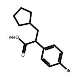 COC(=O)C(CC1CCCC1)c1ccc(Br)cc1